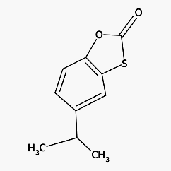 CC(C)c1ccc2oc(=O)sc2c1